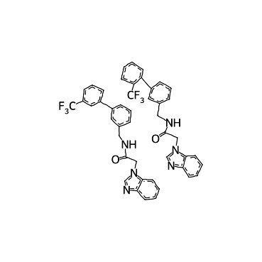 O=C(Cn1cnc2ccccc21)NCc1cccc(-c2cccc(C(F)(F)F)c2)c1.O=C(Cn1cnc2ccccc21)NCc1cccc(-c2ccccc2C(F)(F)F)c1